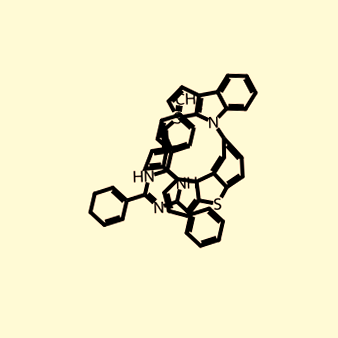 C=S123C=Cc4c1n(c1ccccc41)-c1ccc4c(c1)C1C(=CC=CC1c1ccc(c2c1)-c1c(C2NC(C5=CCCC=C5)=NC(c5ccccc5)N2)cccc13)S4